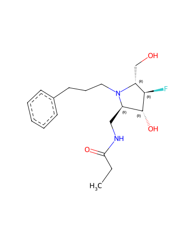 CCC(=O)NC[C@@H]1[C@@H](O)[C@H](F)[C@@H](CO)N1CCCc1ccccc1